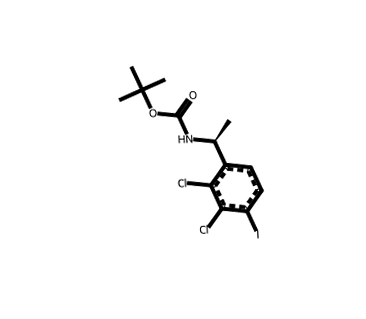 C[C@H](NC(=O)OC(C)(C)C)c1ccc(I)c(Cl)c1Cl